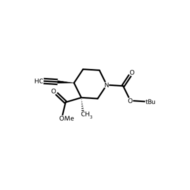 C#C[C@H]1CCN(C(=O)OC(C)(C)C)C[C@@]1(C)C(=O)OC